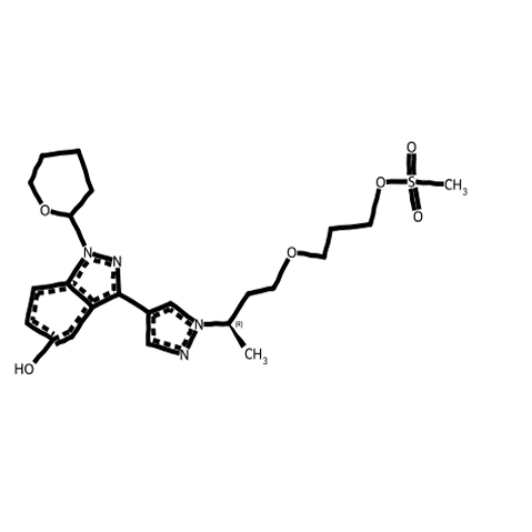 C[C@H](CCOCCCOS(C)(=O)=O)n1cc(-c2nn(C3CCCCO3)c3ccc(O)cc23)cn1